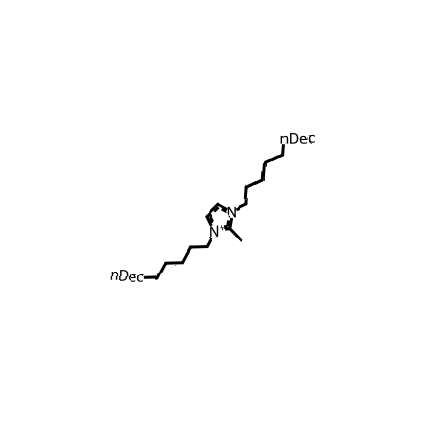 CCCCCCCCCCCCCCCn1cc[n+](CCCCCCCCCCCCCCC)c1C